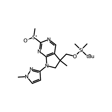 Cn1ccc(N2CC(C)(CO[Si](C)(C)C(C)(C)C)c3cnc([S+](C)[O-])nc32)n1